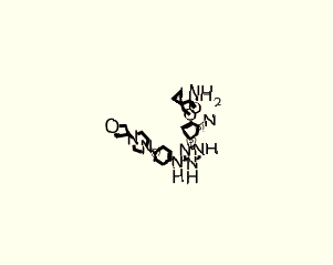 N#C[C@@H]1C[C@H](C2=N[C@@H](NC3=CC[C@H](N4CCN(C5COC5)CC4)CC3)NCN2)CC=C1OCC1(C(N)=O)CC1